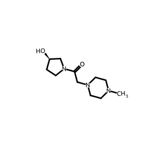 CN1CCN(CC(=O)N2CC[C@@H](O)C2)CC1